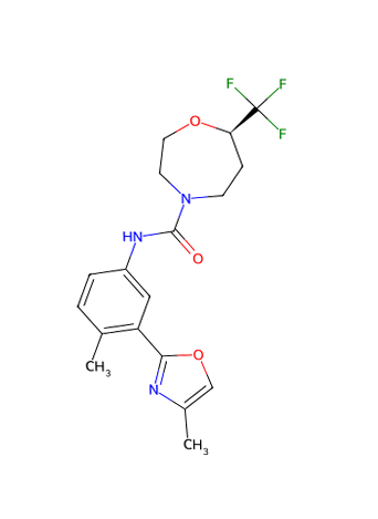 Cc1coc(-c2cc(NC(=O)N3CCO[C@@H](C(F)(F)F)CC3)ccc2C)n1